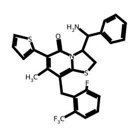 Cc1c(Cc2c(F)cccc2C(F)(F)F)c2n(c(=O)c1-c1cccs1)C(C(N)c1ccccc1)CS2